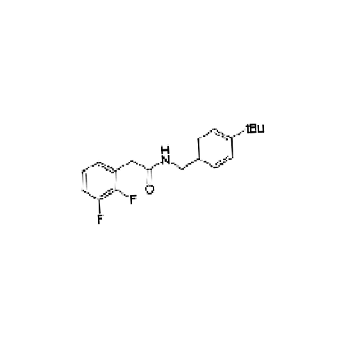 CC(C)(C)c1ccc(CNC(=O)Cc2cccc(F)c2F)cc1